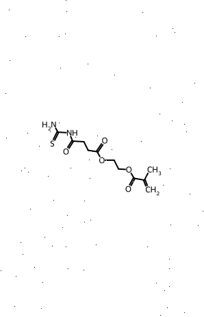 C=C(C)C(=O)OCCOC(=O)CCC(=O)NC(N)=S